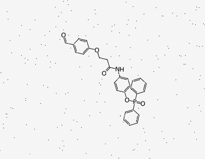 O=Cc1ccc(OCCC(=O)Nc2ccc(OP(=O)(c3ccccc3)c3ccccc3)cc2)cc1